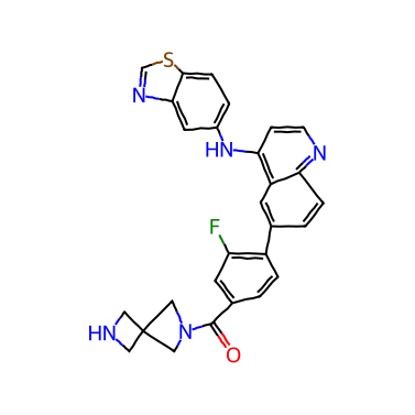 O=C(c1ccc(-c2ccc3nccc(Nc4ccc5scnc5c4)c3c2)c(F)c1)N1CC2(CNC2)C1